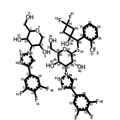 OCC1OCC(O)C(n2cc(-c3cc(F)c(F)c(F)c3)nn2)C1O.OC[C@H]1O[C@@H](SC(c2ccccc2C(F)(F)F)C2(O)CC(F)(F)C2)[C@H](O)[C@@H](n2cc(-c3cc(F)c(F)c(F)c3)nn2)[C@H]1O